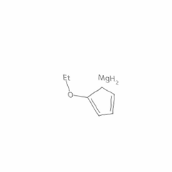 CCOC1=CC=CC1.[MgH2]